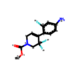 CC(C)(C)OC(=O)N1CC=C(c2ccc(N)cc2F)C(F)(F)C1